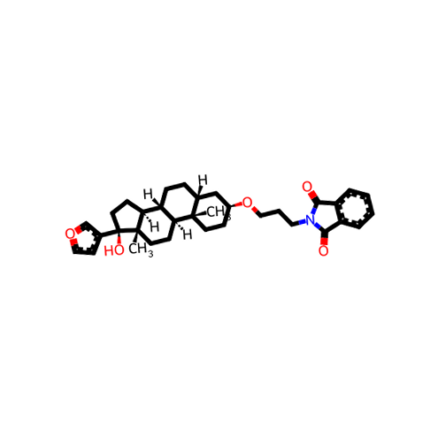 C[C@]12CC[C@H](OCCCN3C(=O)c4ccccc4C3=O)C[C@H]1CC[C@@H]1[C@@H]2CC[C@@]2(C)[C@H]1CC[C@@]2(O)c1ccoc1